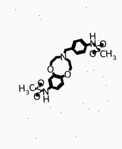 CS(=O)(=O)Nc1ccc(CN2CCOc3ccc(NS(C)(=O)=O)cc3OCC2)cc1